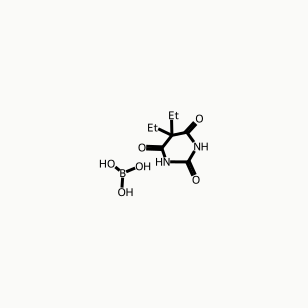 CCC1(CC)C(=O)NC(=O)NC1=O.OB(O)O